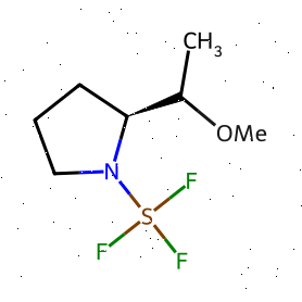 COC(C)[C@@H]1CCCN1S(F)(F)F